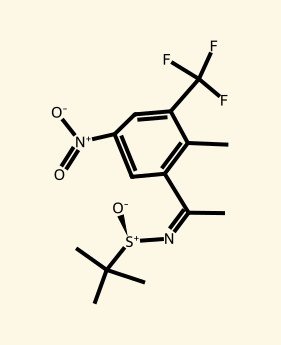 C/C(=N/[S@+]([O-])C(C)(C)C)c1cc([N+](=O)[O-])cc(C(F)(F)F)c1C